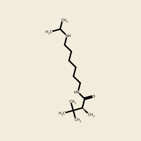 CC(C)NCCCCCCNC(=O)[C@@H](C)C(C)(C)C